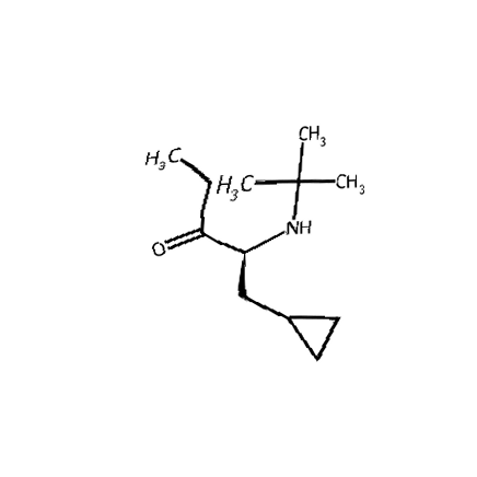 CCC(=O)[C@H](CC1CC1)NC(C)(C)C